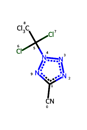 N#Cc1nnn(C(Cl)(Cl)C(Cl)(Cl)Cl)n1